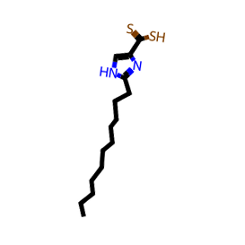 CCCCCCCCCCCc1nc(C(=S)S)c[nH]1